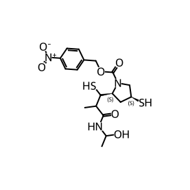 CC(O)NC(=O)C(C)C(S)[C@@H]1C[C@H](S)CN1C(=O)OCc1ccc([N+](=O)[O-])cc1